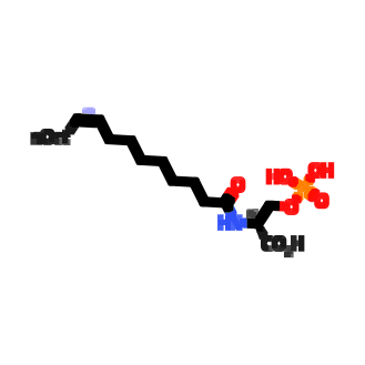 CCCCCCCC/C=C\CCCCCCCC(=O)N[C@@H](COP(=O)(O)O)C(=O)O